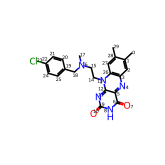 Cc1cc2nc3c(=O)[nH]c(=O)nc-3n(CCN(C)Cc3ccc(Cl)cc3)c2cc1C